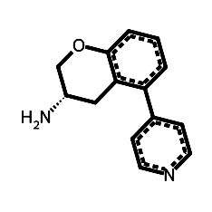 N[C@@H]1COc2cccc(-c3ccncc3)c2C1